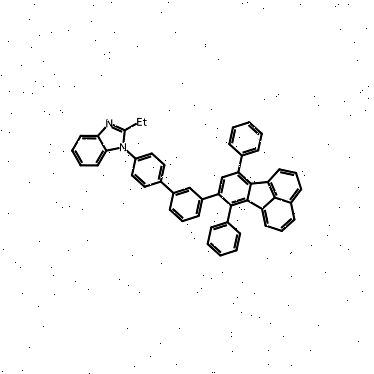 CCc1nc2ccccc2n1-c1ccc(-c2cccc(-c3cc(-c4ccccc4)c4c(c3-c3ccccc3)-c3cccc5cccc-4c35)c2)cc1